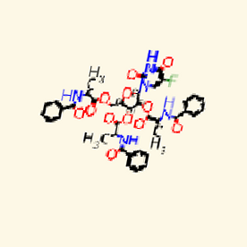 CC(NC(=O)c1ccccc1)C(=O)OC[C@H]1O[C@@H](n2cc(F)c(=O)[nH]c2=O)[C@H](OC(=O)C(C)NC(=O)c2ccccc2)[C@@H]1OC(=O)C(C)NC(=O)c1ccccc1